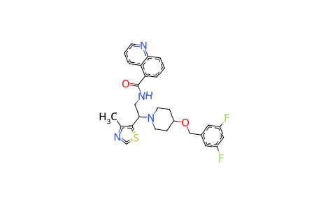 Cc1ncsc1C(CNC(=O)c1cccc2ncccc12)N1CCC(OCc2cc(F)cc(F)c2)CC1